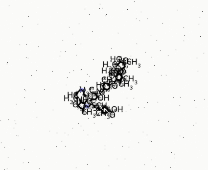 C#C/C=C\C#C[C@H](OC1CC(O)[C@H](NOC2CC[C@H](SC(=O)c3c(C)c(C)c(OC4C[C@H](OC)C(O)[C@H](C)O4)c(OC)c3OC)C(C)O2)C(C)O1)C1=C(NC)C(=O)CC(C)/C1=C/CSSC(C)(C)c1ccc(C(=O)O)cc1